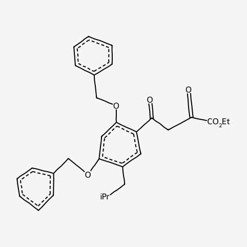 CCOC(=O)C(=O)CC(=O)c1cc(CC(C)C)c(OCc2ccccc2)cc1OCc1ccccc1